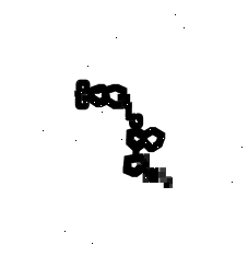 Nc1cccc(-c2ccc(OCCN3CCc4cc5c(cc4C3)OCO5)c3c2CCCC3)n1